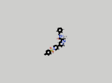 Cc1ccc(S(=O)(=O)N2CCC(c3ccn4nc(C(F)(F)F)c(C(=O)NCc5ccccc5)c4c3)CC2)cc1